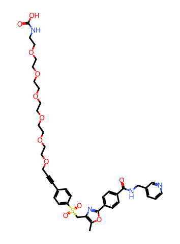 Cc1oc(-c2ccc(C(=O)NCc3cccnc3)cc2)nc1CS(=O)(=O)c1ccc(C#CCOCCOCCOCCOCCOCCOCCNC(=O)O)cc1